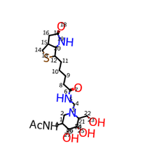 CC(=O)NC1CN(CNC(=O)CCCCC2SCC3CC(=O)NC32)C(CO)[C@@H](O)[C@@H]1O